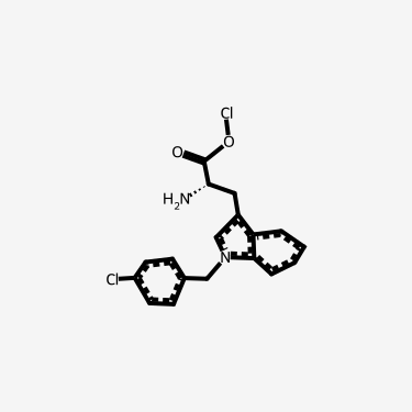 N[C@@H](Cc1cn(Cc2ccc(Cl)cc2)c2ccccc12)C(=O)OCl